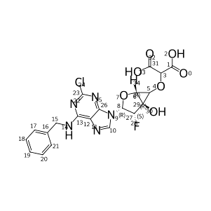 O=C(O)C(OC1[C@H]2O[C@@H](n3cnc4c(NCc5ccccc5)nc(Cl)nc43)[C@@H](F)[C@@]12O)C(=O)O